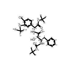 CC(C)(C)OC(=O)N[C@H](Cc1ccccc1)[C@H](O)C(=O)N[C@@H](C(=O)OC(C)(C)C)c1ccc(Cl)c(OC(F)(F)F)c1